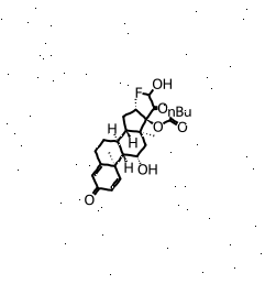 CCCCC(=O)O[C@]1(C(=O)C(O)F)[C@@H](C)C[C@H]2[C@@H]3CCC4=CC(=O)C=C[C@]4(C)[C@H]3[C@@H](O)C[C@@]21C